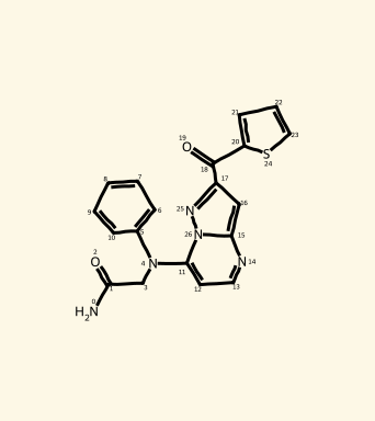 NC(=O)CN(c1ccccc1)c1ccnc2cc(C(=O)c3cccs3)nn12